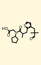 CC(Cc1sccc1CC(C)(C)C=O)C(=O)N(CC(=O)O)C1CCCC1